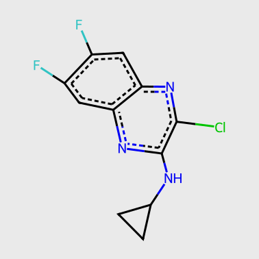 Fc1cc2nc(Cl)c(NC3CC3)nc2cc1F